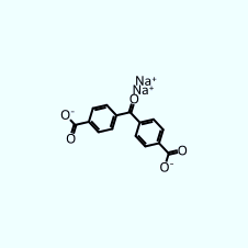 O=C([O-])c1ccc(C(=O)c2ccc(C(=O)[O-])cc2)cc1.[Na+].[Na+]